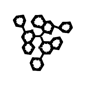 c1ccc(-c2cc3ccccc3[c]([Ir]([c]3nc(-c4ccccc4)cc4ccccc34)[c]3nc(-c4ccccc4)cc4ccccc34)n2)cc1